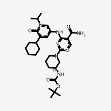 CC(C)n1cc(Nc2nc(N3CCC[C@H](NC(=O)OC(C)(C)C)C3)ncc2C(N)=O)cc(C2CCCCC2)c1=O